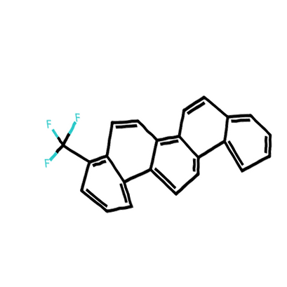 FC(F)(F)c1cccc2c1ccc1c2ccc2c3ccccc3ccc21